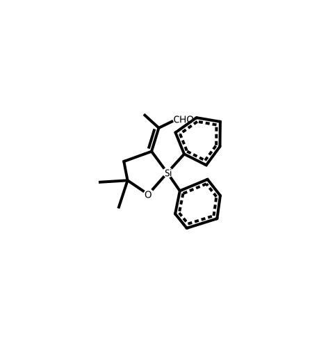 C/C(C=O)=C1\CC(C)(C)O[Si]1(c1ccccc1)c1ccccc1